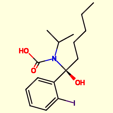 CCCCC[C@](O)(c1ccccc1I)N(C(=O)O)C(C)C